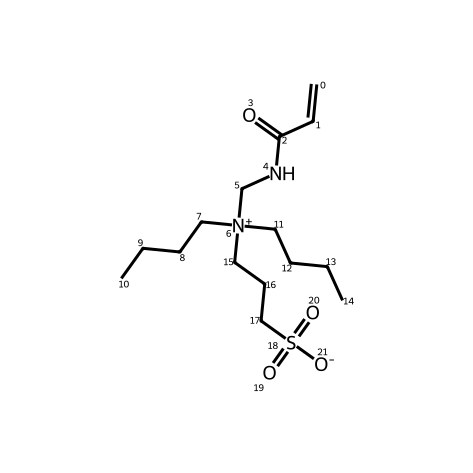 C=CC(=O)NC[N+](CCCC)(CCCC)CCCS(=O)(=O)[O-]